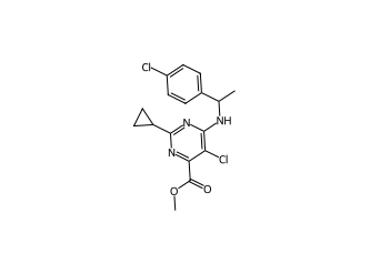 COC(=O)c1nc(C2CC2)nc(NC(C)c2ccc(Cl)cc2)c1Cl